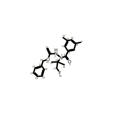 C=C(NN(C(=O)c1cc(C)cc(C)c1)C(C)(C)CF)OCc1ccccc1